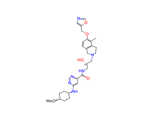 CO[C@H]1CC[C@@H](Nc2cc(C(=O)NC[C@H](O)CN3CCc4c(ccc(OCc5cnco5)c4C)C3)ncn2)CC1